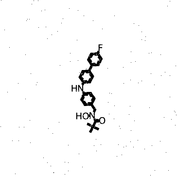 CC(C)(C)C(=O)N(O)Cc1ccc(Nc2ccc(-c3ccc(F)cc3)cc2)cc1